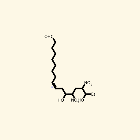 CCC(O)C(CC(C(O)C/C=C\CCCCCCCC=O)[N+](=O)[O-])[N+](=O)[O-]